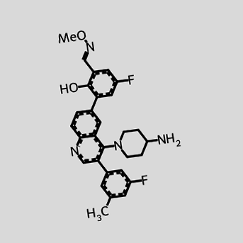 CON=Cc1cc(F)cc(-c2ccc3ncc(-c4cc(C)cc(F)c4)c(N4CCC(N)CC4)c3c2)c1O